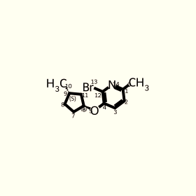 Cc1ccc(O[C@H]2CC[C@H](C)C2)c(Br)n1